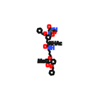 COC(=O)c1c(OCCCCNC(=O)/C(=C/c2ccc(N3CC(=O)NS3(=O)=O)c(OCc3ccccc3)c2)NC(C)=O)cccc1OCc1ccccc1